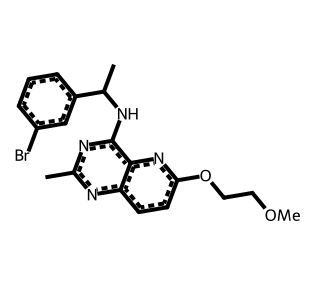 COCCOc1ccc2nc(C)nc(NC(C)c3cccc(Br)c3)c2n1